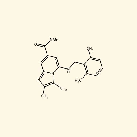 CNC(=O)c1cc(NCc2c(C)cccc2C)n2c(C)c(C)nc2c1